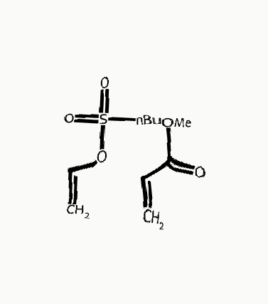 C=CC(=O)OC.C=COS(=O)(=O)CCCC